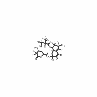 [2H]C1=C([2H])[C@]([2H])(C)[C@H](CCC2C[C@@H](O)C([2H])([2H])C(=O)O2)[C@@H]2C1=C([2H])[C@]([2H])(C)C([2H])([2H])C2OC(=O)C(CC)(C([2H])([2H])[2H])C([2H])([2H])[2H]